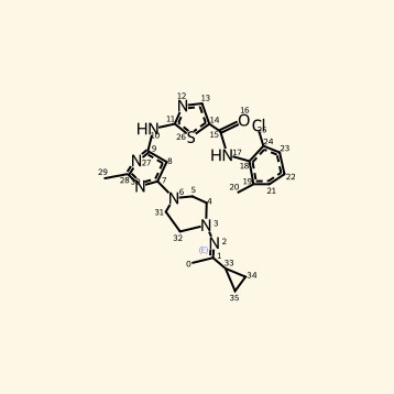 C/C(=N\N1CCN(c2cc(Nc3ncc(C(=O)Nc4c(C)cccc4Cl)s3)nc(C)n2)CC1)C1CC1